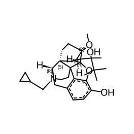 CO[C@]12CC[C@@]3(C[C@@H]1C(C)(O)C(C)(C)C)[C@H]1Cc4ccc(O)c5c4C3(CCN1CC1CC1)[C@H]2O5